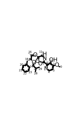 COc1ccnc(C(=O)N[C@@H](C)C(=O)O[C@@H](C)[C@@H](Cc2ccccc2)OCC(C)C)c1O